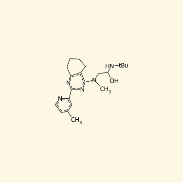 Cc1ccnc(-c2nc3c(c(N(C)CC(O)NC(C)(C)C)n2)CCCC3)c1